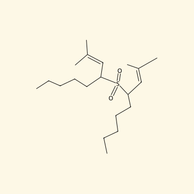 CCCCCC(C=C(C)C)S(=O)(=O)C(C=C(C)C)CCCCC